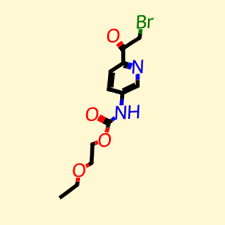 CCOCCOC(=O)Nc1ccc(C(=O)CBr)nc1